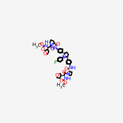 COC(=O)NC(C(=O)N1CCC[C@H]1C(=O)Nc1ccc([C@@H]2CC[C@@H](c3ccc(NC(=O)[C@@H]4CCCN4C(=O)C(NC(=O)OC)[C@H]4CCOC4)cc3)N2c2ccc(F)cc2)cc1)[C@H]1CCOC1